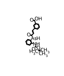 CC(C)(C)OC(=O)Nc1ccccc1[AsH]C(=O)C=Cc1cccc(C(=O)O)c1